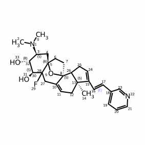 CN(C)[C@H]1C[C@@]23CC[C@@]4(O2)C(=CC[C@]2(C)C(/C=C/c5cccnc5)=CCC24)CC3(F)[C@@H](O)[C@@H]1O